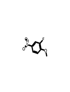 COc1ccc([SH](=O)=O)cc1F